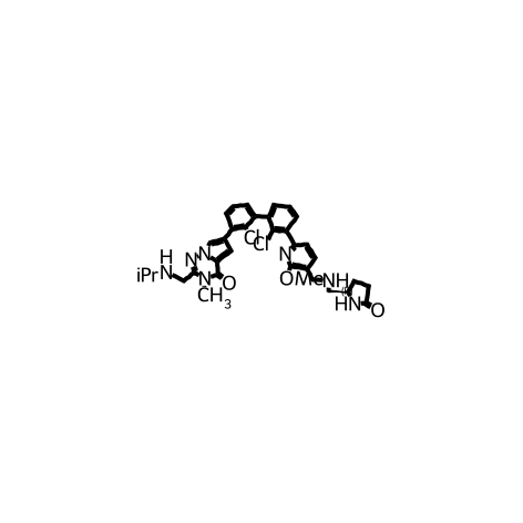 COc1nc(-c2cccc(-c3cccc(-c4cc5c(=O)n(C)c(CNC(C)C)nn5c4)c3Cl)c2Cl)ccc1CNC[C@H]1CCC(=O)N1